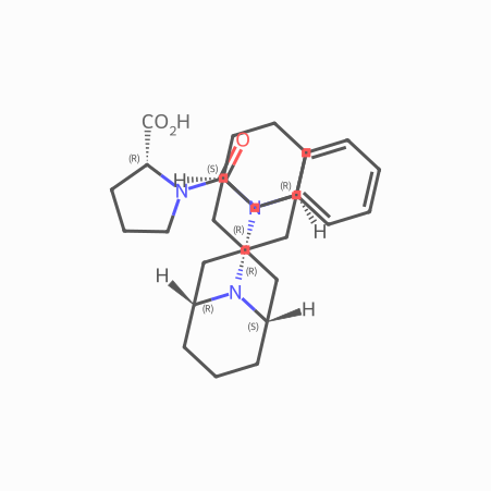 O=C(O)[C@H]1CCCN1C(=O)N(c1ccccc1)[C@H]1C[C@H]2CCC[C@@H](C1)N2[C@H]1C[C@@H]2CCC[C@@H](C2)C1